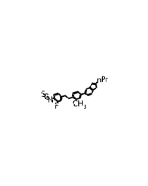 CCCC1=Cc2cc(-c3ccc(CCc4ccc(N=C=S)c(F)c4)c(C)c3)ccc2C1